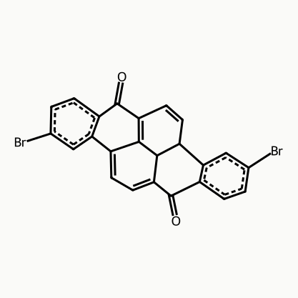 O=C1C2=C3C(=CC=C4C(=O)c5ccc(Br)cc5C(C=C2)C43)c2cc(Br)ccc21